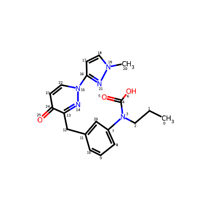 CCCN(C(=O)O)c1cccc(Cc2nn(-c3ccn(C)n3)ccc2=O)c1